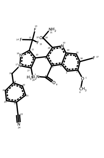 COc1cc2c(C(N)=O)c(-c3c(C(F)(F)F)nn(Cc4ccc(C#N)cc4)c3C)c(C(N)=O)nc2cc1F